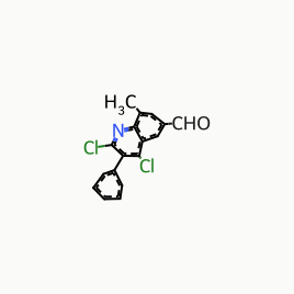 Cc1cc(C=O)cc2c(Cl)c(-c3ccccc3)c(Cl)nc12